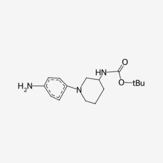 CC(C)(C)OC(=O)NC1CCCN(c2ccc(N)cc2)C1